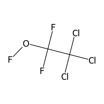 FOC(F)(F)C(Cl)(Cl)Cl